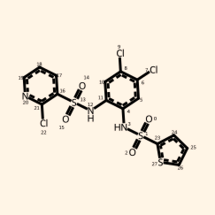 O=S(=O)(Nc1cc(Cl)c(Cl)cc1NS(=O)(=O)c1cccnc1Cl)c1cccs1